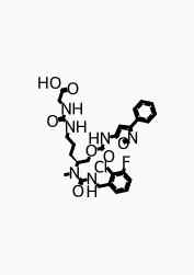 CN(C(=O)NCc1cccc(F)c1Cl)[C@@H](CCCNC(=O)NCC(=O)O)COC(=O)Nc1cc(-c2ccccc2)no1